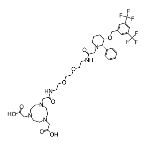 O=C(O)CN1CCN(CC(=O)O)CCN(CC(=O)NCCOCCOCCNC(=O)CN2CCC[C@H](OCc3cc(C(F)(F)F)cc(C(F)(F)F)c3)[C@@H]2c2ccccc2)CC1